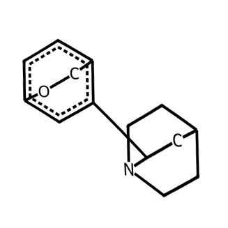 c1cc2c(C3CC4CCN3CC4)cc1OC2